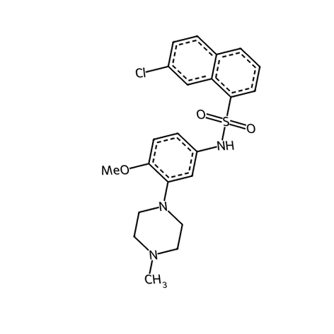 COc1ccc(NS(=O)(=O)c2cccc3ccc(Cl)cc23)cc1N1CCN(C)CC1